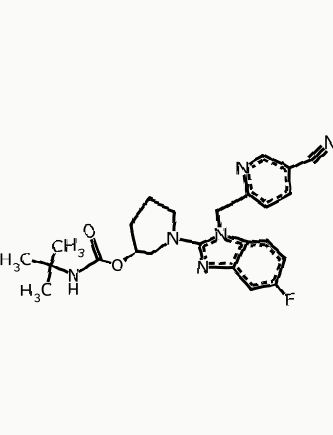 CC(C)(C)NC(=O)O[C@H]1CCCN(c2nc3cc(F)ccc3n2Cc2ccc(C#N)cn2)C1